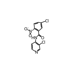 O=C(Nc1ccncc1Cl)c1cc(Cl)ccc1[N+](=O)[O-]